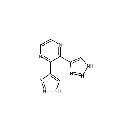 c1cnc(-c2c[nH]nn2)c(-c2c[nH]nn2)n1